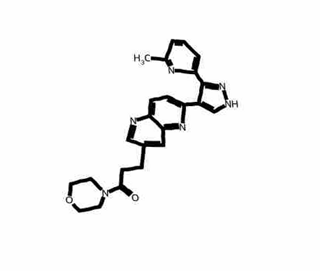 Cc1cccc(-c2n[nH]cc2-c2ccc3ncc(CCC(=O)N4CCOCC4)cc3n2)n1